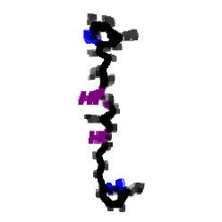 c1ccc(CCCCPCCCPCCCCc2ccccn2)nc1